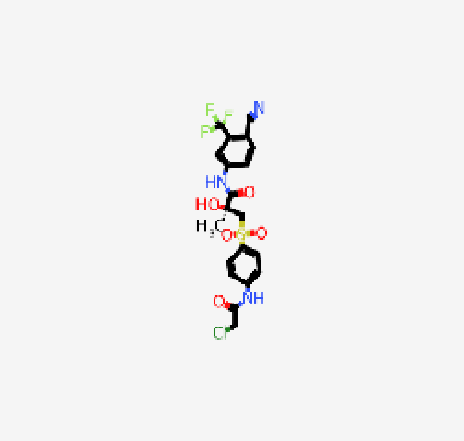 C[C@@](O)(CS(=O)(=O)c1ccc(NC(=O)CCl)cc1)C(=O)Nc1ccc(C#N)c(C(F)(F)F)c1